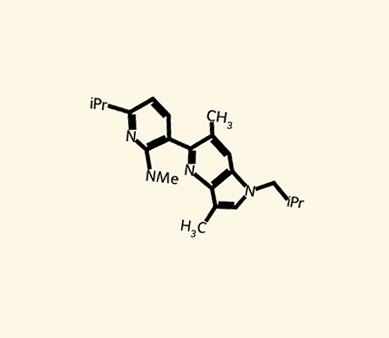 CNc1nc(C(C)C)ccc1-c1nc2c(C)cn(CC(C)C)c2cc1C